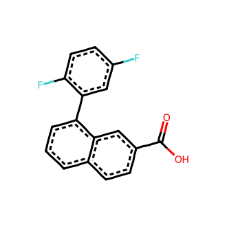 O=C(O)c1ccc2cccc(-c3cc(F)ccc3F)c2c1